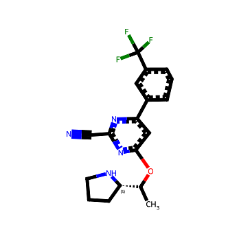 CC(Oc1cc(-c2cccc(C(F)(F)F)c2)nc(C#N)n1)[C@@H]1CCCN1